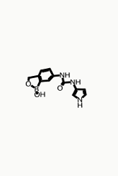 O=C(Nc1cc[nH]c1)Nc1ccc2c(c1)B(O)OC2